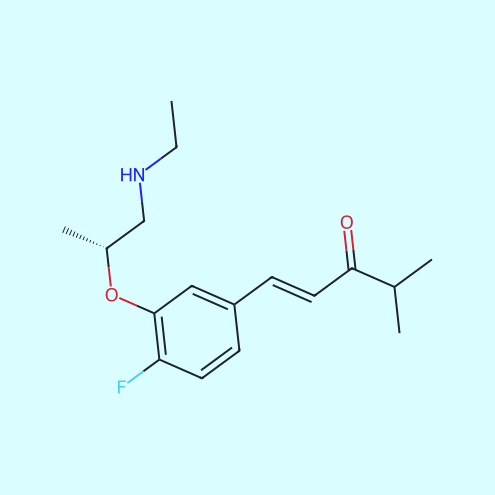 CCNC[C@@H](C)Oc1cc(/C=C/C(=O)C(C)C)ccc1F